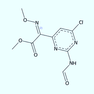 CO/N=C(\C(=O)OC)c1cc(Cl)nc(NC=O)n1